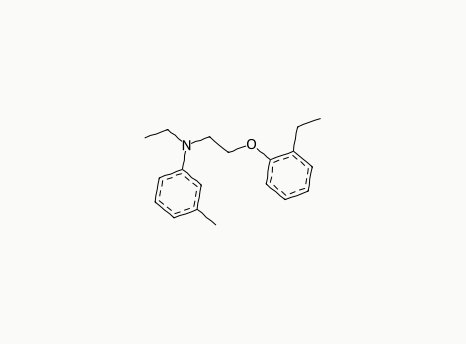 CCc1ccccc1OCCN(CC)c1cccc(C)c1